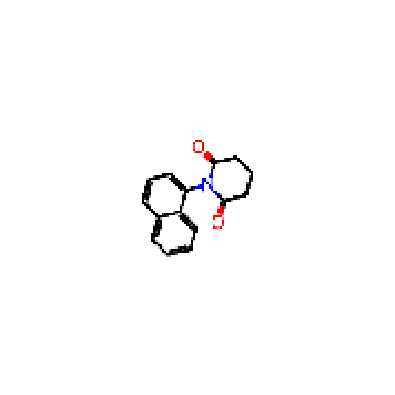 O=C1CCCC(=O)N1c1cccc2ccccc12